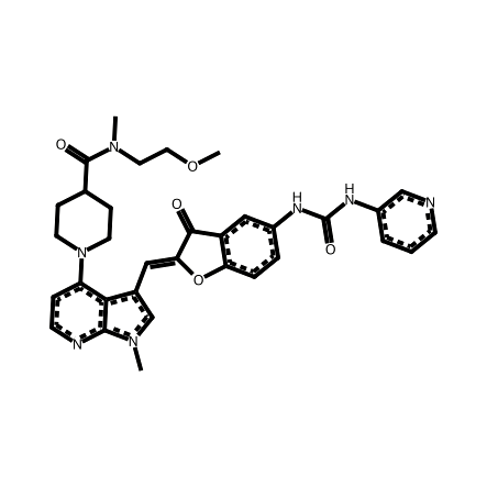 COCCN(C)C(=O)C1CCN(c2ccnc3c2c(C=C2Oc4ccc(NC(=O)Nc5cccnc5)cc4C2=O)cn3C)CC1